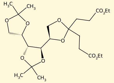 CCOC(=O)CCC1(CCC(=O)OCC)OC[C@H]([C@H]2OC(C)(C)O[C@@H]2[C@@H]2COC(C)(C)O2)O1